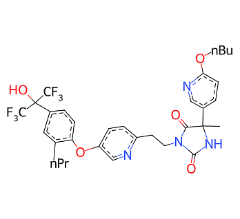 CCCCOc1ccc(C2(C)NC(=O)N(CCc3ccc(Oc4ccc(C(O)(C(F)(F)F)C(F)(F)F)cc4CCC)cn3)C2=O)cn1